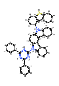 c1ccc(-c2nc(-c3ccccc3)nc(-n3c4ccccc4c4c5c6ccccc6n(-c6cccc7sc8ccccc8c67)c5ccc43)n2)cc1